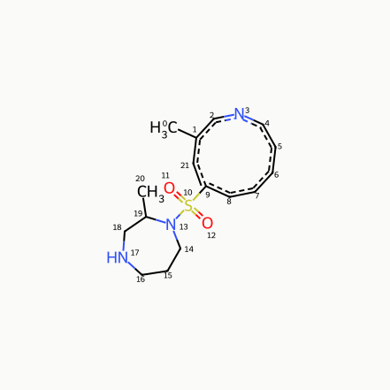 Cc1cncccccc(S(=O)(=O)N2CCCNCC2C)c1